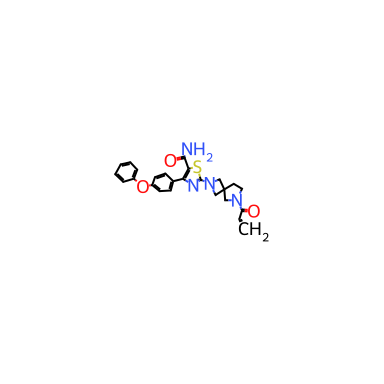 C=CC(=O)N1CCC2(C1)CN(c1nc(-c3ccc(Oc4ccccc4)cc3)c(C(N)=O)s1)C2